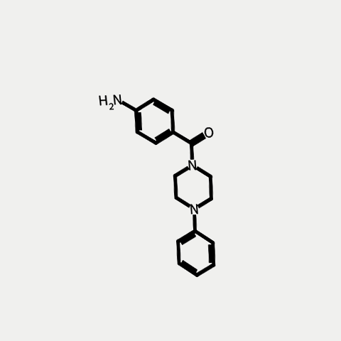 Nc1ccc(C(=O)N2CCN(c3ccccc3)CC2)cc1